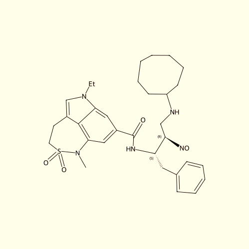 CCn1cc2c3c(cc(C(=O)N[C@@H](Cc4ccccc4)[C@@H](CNC4CCCCCCC4)N=O)cc31)N(C)S(=O)(=O)CC2